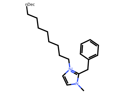 CCCCCCCCCCCCCCCCCC[n+]1ccn(C)c1Cc1ccccc1